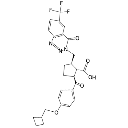 O=C(O)[C@H]1[C@H](Cn2nnc3ccc(C(F)(F)F)cc3c2=O)CC[C@@H]1C(=O)c1ccc(OCC2CCC2)cc1